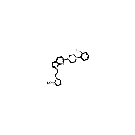 Cc1ccccc1N1CCN(c2ccc3ccn(CCN4CCC[C@@H]4C)c3n2)CC1